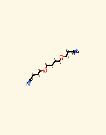 N#CCCCOCCCCOCCC#N